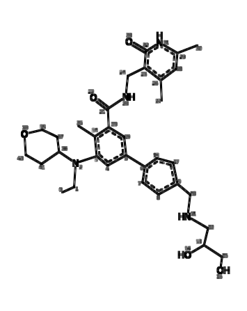 CCN(c1cc(-c2ccc(CNCC(O)CO)cc2)cc(C(=O)NCc2c(C)cc(C)[nH]c2=O)c1C)C1CCOCC1